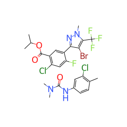 CC(C)OC(=O)c1cc(-c2nn(C)c(C(F)(F)F)c2Br)c(F)cc1Cl.Cc1ccc(NC(=O)N(C)C)cc1Cl